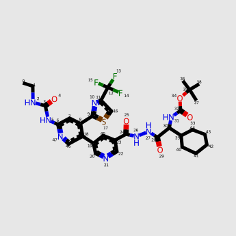 CCNC(=O)Nc1cc(-c2nc(C(F)(F)F)cs2)c(-c2cncc(C(=O)NNC(=O)C(NC(=O)OC(C)(C)C)C3CCCCC3)c2)cn1